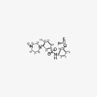 Cc1ccc(NS(=O)(=O)c2ccc(C)c(N3CCCN(C)CC3)c2)cc1OC(F)F